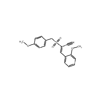 COc1ccc(CS(=O)(=O)C(C#N)=Cc2ccccc2OC)cc1